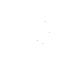 CCCCCCCC(CC)c1cccc2c1c(C(N)=O)nn2C.Cl